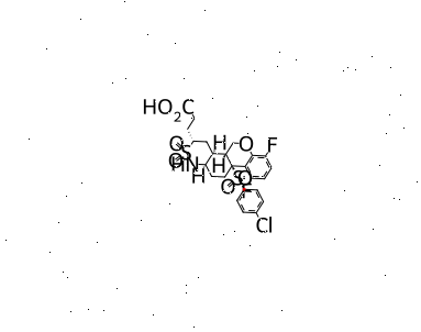 O=C(O)CC[C@@H]1C[C@@H]2[C@@H](CC[C@@]3(S(=O)(=O)c4ccc(Cl)cc4)c4c(F)ccc(F)c4OC[C@@H]23)NS1(=O)=O